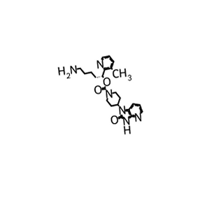 Cc1cccnc1[C@@H](CCCCN)OC(=O)N1CCC(n2c(=O)[nH]c3ncccc32)CC1